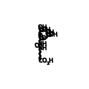 O=C(O)CCCCCNC(=O)NCC(COCC(CO)CO)COCC(CO)CO